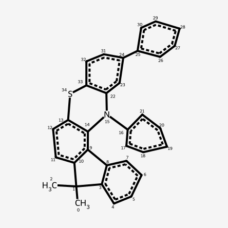 CC1(C)c2ccccc2-c2c1ccc1c2N(c2ccccc2)c2cc(-c3ccccc3)ccc2S1